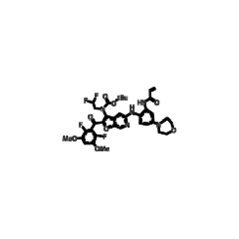 C=CC(=O)Nc1cc(N2CCOCC2)ccc1Nc1cc2c(N(CC(F)F)C(=O)OC(C)(C)C)c(C(=O)c3c(F)c(OC)cc(OC)c3F)oc2cn1